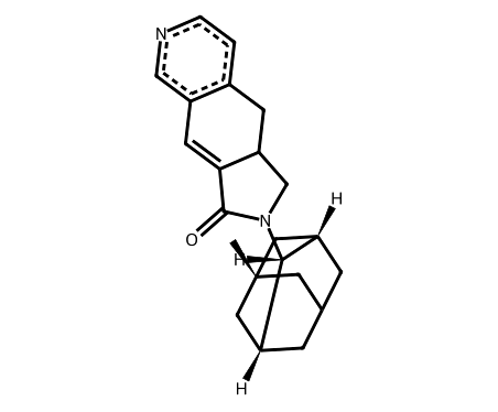 C[C@@]12CC3C[C@H](C1)[C@H](N1CC4Cc5ccncc5C=C4C1=O)[C@@H](C3)C2